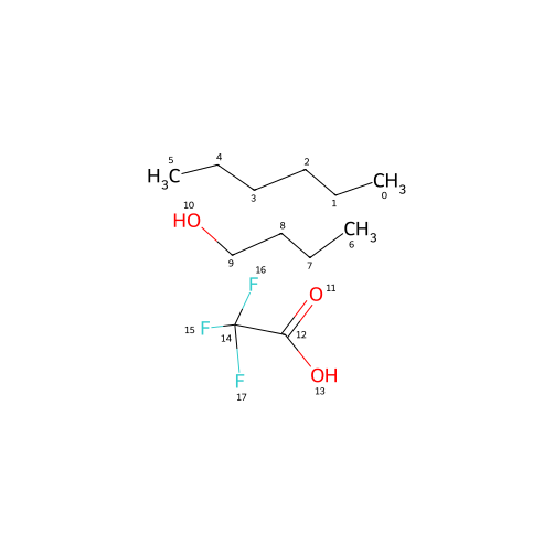 CCCCCC.CCCCO.O=C(O)C(F)(F)F